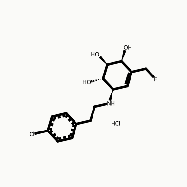 Cl.O[C@@H]1[C@@H](O)[C@@H](O)C(CF)=C[C@H]1NCCc1ccc(Cl)cc1